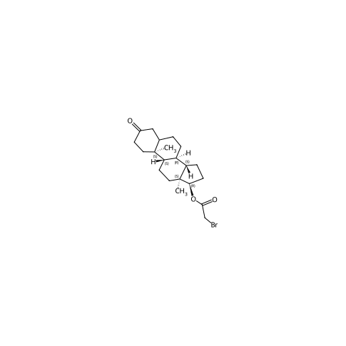 C[C@]12CC[C@H]3[C@@H](CCC4CC(=O)CC[C@@]43C)[C@@H]1CC[C@H]2OC(=O)CBr